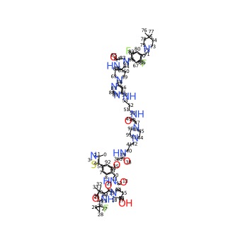 Cc1ncsc1-c1ccc(CNC(=O)[C@@H]2C[C@@H](O)CN2C(=O)[C@@H](NC(=O)C2(F)CC2)C(C)(C)C)c(OCC(=O)NCCCN2CCN(CC(=O)NCCCNc3cc(N4CCC5(CC4)CN(c4cc(F)c(CN6CCC(C)(C)CC6)cc4F)CC(=O)N5)ncn3)CC2)c1